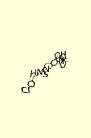 O=[N+]([O-])c1cc2c(cc1O)CCN(C(=S)NCCc1ccc(Cl)cc1)C2